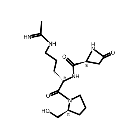 CC(=N)NCCC[C@H](NC(=O)[C@@H]1CC(=O)N1)C(=O)N1CCC[C@H]1CO